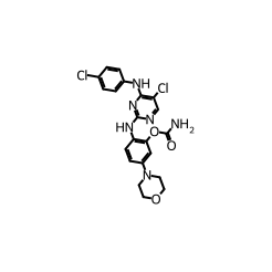 NC(=O)Oc1cc(N2CCOCC2)ccc1Nc1ncc(Cl)c(Nc2ccc(Cl)cc2)n1